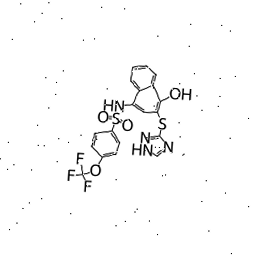 O=S(=O)(Nc1cc(Sc2nc[nH]n2)c(O)c2ccccc12)c1ccc(OC(F)(F)F)cc1